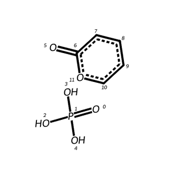 O=P(O)(O)O.O=c1cccco1